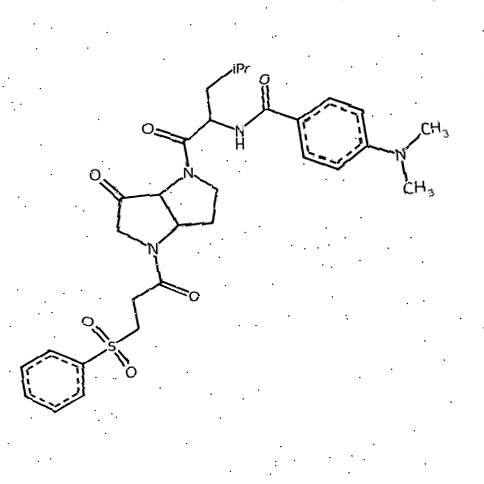 CC(C)CC(NC(=O)c1ccc(N(C)C)cc1)C(=O)N1CCC2C1C(=O)CN2C(=O)CCS(=O)(=O)c1ccccc1